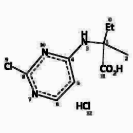 CCC(C)(Nc1ccnc(Cl)n1)C(=O)O.Cl